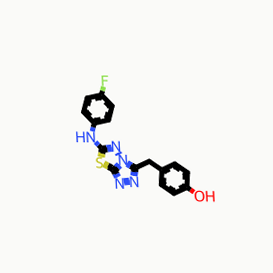 Oc1ccc(Cc2nnc3sc(Nc4ccc(F)cc4)nn23)cc1